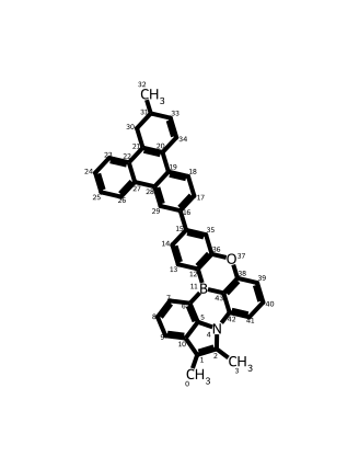 Cc1c(C)n2c3c(cccc13)B1c3ccc(-c4ccc5c6c(c7ccccc7c5c4)CC(C)C=C6)cc3Oc3cccc-2c31